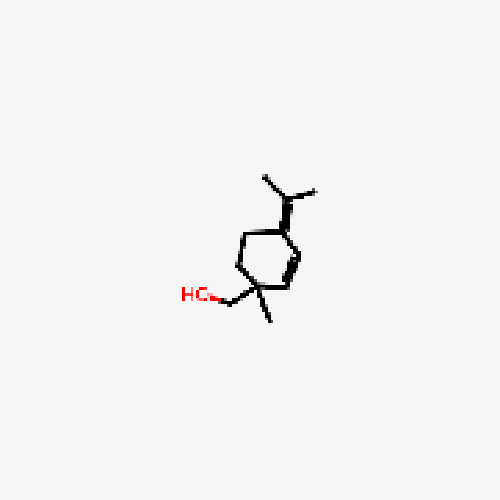 CC(C)=C1C=CC(C)(CO)CC1